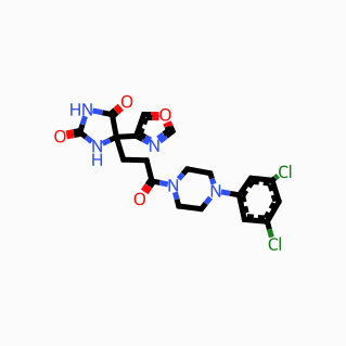 O=C1NC(=O)C(CCC(=O)N2CCN(c3cc(Cl)cc(Cl)c3)CC2)(c2cocn2)N1